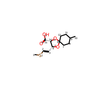 CS/C=C/[C@H]1OC2(CCC(C)CC2)O[C@H]1C(=O)O